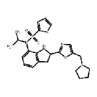 CC(C)N(c1cccc2c1NC(c1ncc(CN3CCCC3)s1)C2)S(=O)(=O)c1cccs1